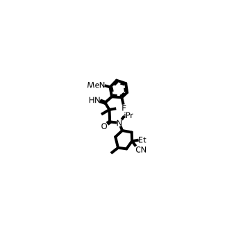 CCC1(C#N)CC(C)CC(N(C(=O)C(C)(C)C(=N)c2c(F)cccc2NC)C(C)C)C1